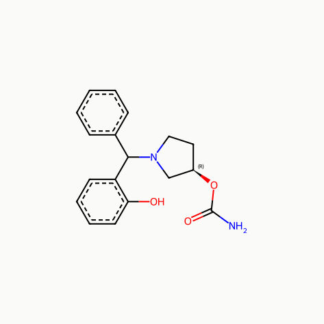 NC(=O)O[C@@H]1CCN(C(c2ccccc2)c2ccccc2O)C1